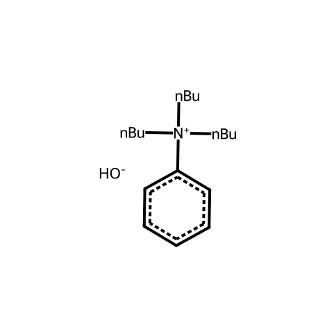 CCCC[N+](CCCC)(CCCC)c1ccccc1.[OH-]